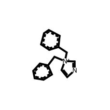 C1=C[N+](Cc2ccccc2)(Cc2ccccc2)C=N1